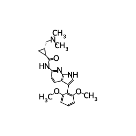 COc1cccc(OC)c1-c1c[nH]c2nc(NC(=O)[C@H]3C[C@@H]3CN(C)C)ccc12